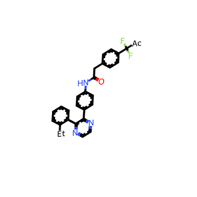 CCc1ccccc1-c1nccnc1-c1ccc(NC(=O)Cc2ccc(C(F)(F)C(C)=O)cc2)cc1